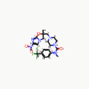 CN(C(=O)N1CCN(CC2(C)Cn3cc([N+](=O)[O-])nc3O2)CC1)c1ccc(C(F)(F)F)cc1